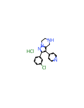 Cl.Clc1cccc(-c2nn3c(c2-c2ccncc2)CNCC3)c1